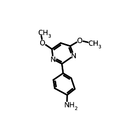 COc1cc(OC)nc(-c2ccc(N)cc2)n1